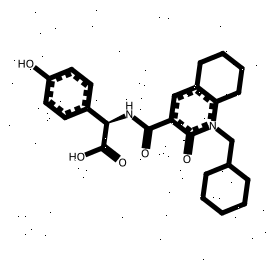 O=C(N[C@@H](C(=O)O)c1ccc(O)cc1)c1cc2c(n(CC3CCCCC3)c1=O)CCCC2